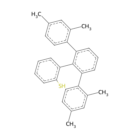 Cc1ccc(-c2cccc(-c3ccc(C)cc3C)c2-c2ccccc2S)c(C)c1